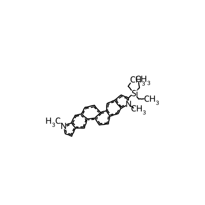 CC[Si](CC)(CC)c1cc2cc3c(ccc4c5cc6ccn(C)c6cc5ccc34)cc2n1C